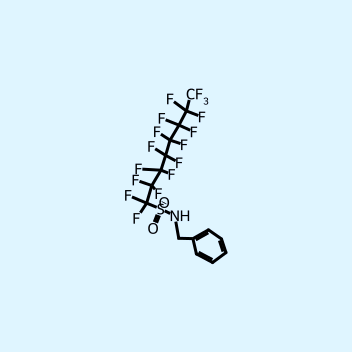 O=S(=O)(NCc1ccccc1)C(F)(F)C(F)(F)C(F)(F)C(F)(F)C(F)(F)C(F)(F)C(F)(F)C(F)(F)F